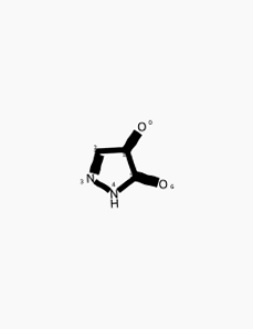 O=C1[C]=NNC1=O